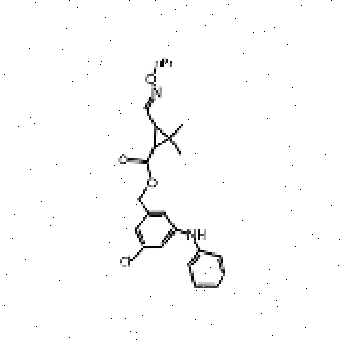 CCCON=CC1C(C(=O)OCc2cc(Cl)cc(Nc3ccccc3)c2)C1(C)C